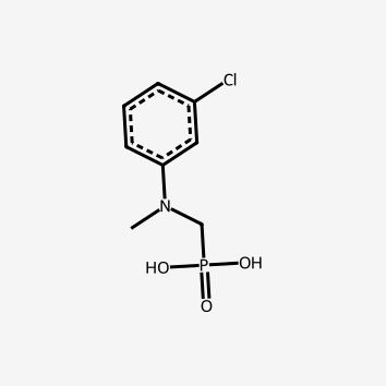 CN(CP(=O)(O)O)c1cccc(Cl)c1